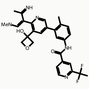 CN/C=C(\C(C)=N)c1ncc(-c2cc(NC(=O)c3ccnc(C(C)(F)F)c3)ccc2C)cc1C1(O)COC1